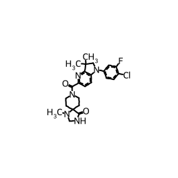 CN1CNC(=O)C12CCN(C(=O)c1ccc3c(n1)C(C)(C)CN3c1ccc(Cl)c(F)c1)CC2